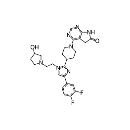 O=C1Cc2c(ncnc2N2CCC(c3nc(-c4ccc(F)c(F)c4)cn3CCN3CCC(O)C3)CC2)N1